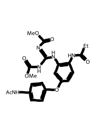 CCC(=O)Nc1ccc(Oc2ccc(NC(C)=O)cc2)cc1NC(=NC(=O)OC)NC(=O)OC